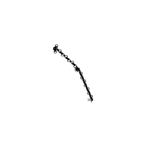 O=C1C=CC(=O)N1CCOCCOCCOCCOCCOCCOCc1cn(CCOCCOCCOCCOCCOCCOCCOCC[18F])nn1